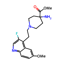 COC(=O)C1(N)CCN(CCc2c(F)cnc3ccc(OC)cc23)CC1